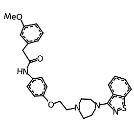 COc1cccc(CC(=O)Nc2ccc(OCCN3CCN(c4nsc5ccccc45)CC3)cc2)c1